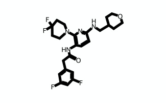 O=C(Cc1cc(F)cc(F)c1)Nc1ccc(NCC2CCOCC2)nc1N1CCC(F)(F)CC1